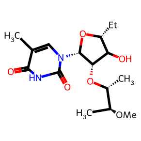 CC[C@H]1O[C@@H](n2cc(C)c(=O)[nH]c2=O)[C@@H](O[C@H](C)[C@H](C)OC)C1O